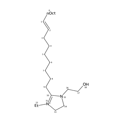 CCCCCCCC/C=C/CCCCCCCC1=[N+](CC)CCN1CCO